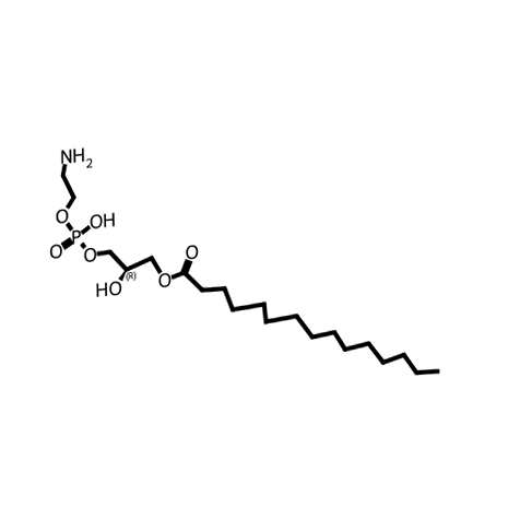 CCCCCCCCCCCCCCC(=O)OC[C@@H](O)COP(=O)(O)OCCN